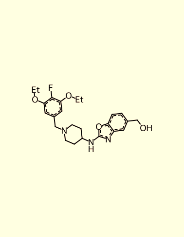 CCOc1cc(CN2CCC(Nc3nc4cc(CO)ccc4o3)CC2)cc(OCC)c1F